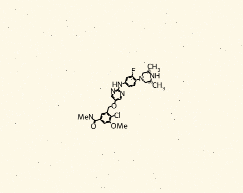 CNC(=O)c1cc(COc2cnc(Nc3ccc(N4C[C@@H](C)N[C@@H](C)C4)c(F)c3)nc2)c(Cl)c(OC)c1